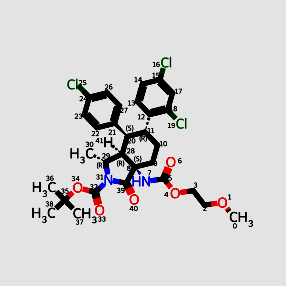 COCCOC(=O)N[C@@]12CC[C@@H](c3ccc(Cl)cc3Cl)[C@H](c3ccc(Cl)cc3)[C@@H]1[C@@H](C)N(C(=O)OC(C)(C)C)C2=O